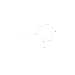 CCCCC[n+]1ccccc1.CS(=O)(=O)O